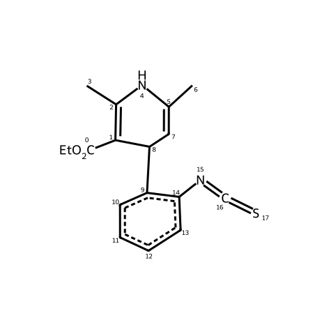 CCOC(=O)C1=C(C)NC(C)=CC1c1ccccc1N=C=S